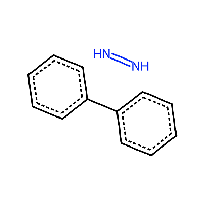 N=N.c1ccc(-c2ccccc2)cc1